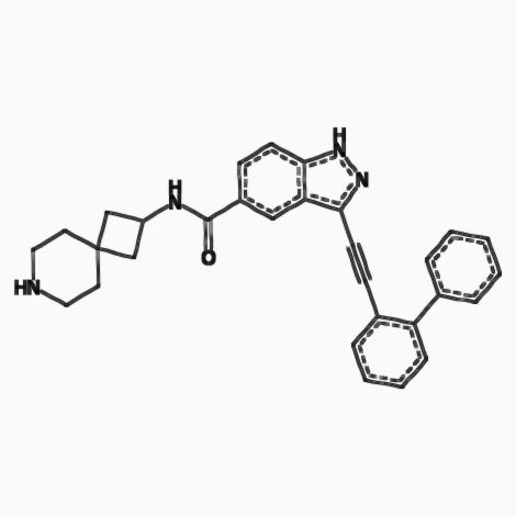 O=C(NC1CC2(CCNCC2)C1)c1ccc2[nH]nc(C#Cc3ccccc3-c3ccccc3)c2c1